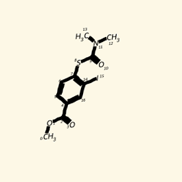 COC(=O)c1ccc(SC(=O)N(C)C)c(I)c1